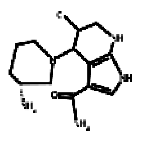 NC(=O)c1c[nH]c2c1C(N1CCC[C@@H](N)C1)C(Cl)CN2